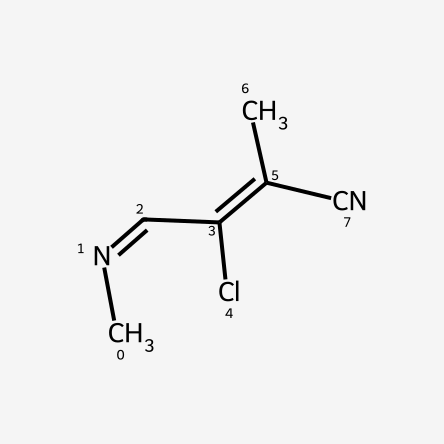 C/N=C\C(Cl)=C(/C)C#N